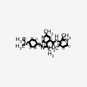 Cc1cc(C(=O)Nc2c(C)ccnc2C)c2c(C)nn(-c3ccc(N(C)C)cc3)c2n1